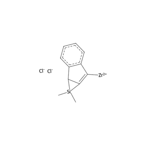 C[Si]1(C)C2=[C]([Zr+2])c3ccccc3C21.[Cl-].[Cl-]